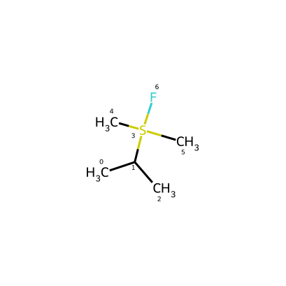 CC(C)S(C)(C)F